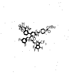 C[C@@H]1CN(c2nc3nc([C@H](Cc4cc(F)cc(F)c4)NC(=O)Cn4nc(C(F)(F)F)c5c4C(F)(F)[C@H](C)[C@@H]5I)c(-c4cccc5c(NS(C)(=O)=O)nn(C)c45)cc3s2)CCN1C(=O)OC(C)(C)C